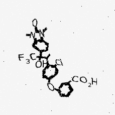 CC(c1ccc(Oc2cccc(C(=O)O)c2)cc1Cl)C(O)(c1ccc2c(c1)n(C)c(=O)n2C)C(F)(F)F